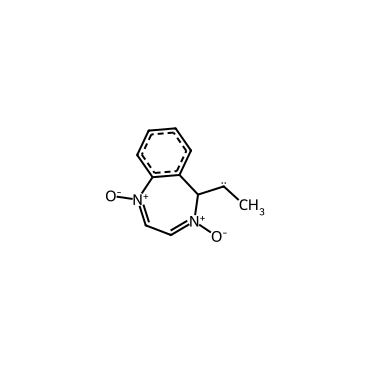 C[C]C1c2ccccc2[N+]([O-])=CC=[N+]1[O-]